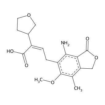 COc1c(C)c2c(c(N)c1CC=C(C(=O)O)C1CCOC1)C(=O)OC2